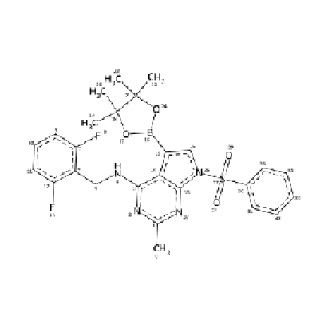 Cc1nc(NCc2c(F)cccc2F)c2c(B3OC(C)(C)C(C)(C)O3)cn(S(=O)(=O)c3ccccc3)c2n1